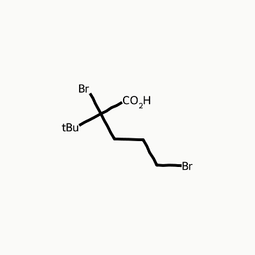 CC(C)(C)C(Br)(CCCBr)C(=O)O